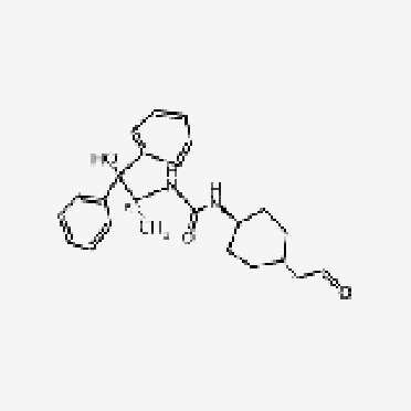 C[C@@H](NC(=O)N[C@H]1CC[C@H](CC=O)CC1)C(O)(c1ccccc1)c1ccccc1